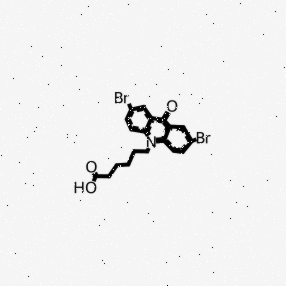 O=C(O)CCCCCn1c2ccc(Br)cc2c(=O)c2cc(Br)ccc21